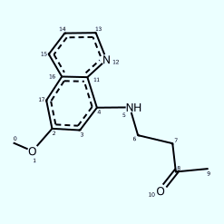 COc1cc(NCCC(C)=O)c2ncccc2c1